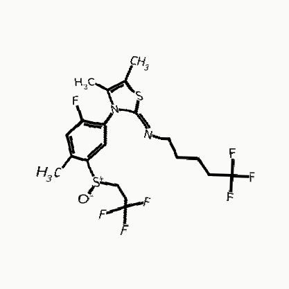 Cc1cc(F)c(-n2c(C)c(C)s/c2=N\CCCCC(F)(F)F)cc1[S+]([O-])CC(F)(F)F